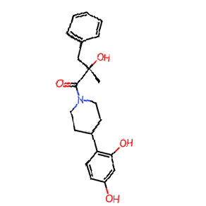 C[C@](O)(Cc1ccccc1)C(=O)N1CCC(c2ccc(O)cc2O)CC1